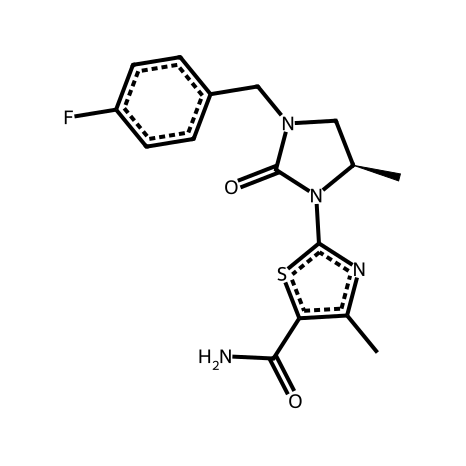 Cc1nc(N2C(=O)N(Cc3ccc(F)cc3)C[C@H]2C)sc1C(N)=O